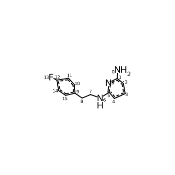 Nc1[c]ccc(NCCc2ccc(F)cc2)n1